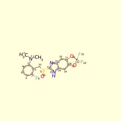 CN(C)c1cccc(F)c1C[S+]([O-])c1nc2cc3c(cc2[nH]1)OC(F)(F)O3